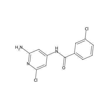 Nc1cc(NC(=O)c2cccc(Cl)c2)cc(Cl)n1